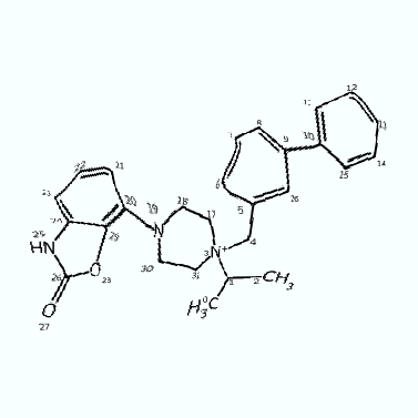 CC(C)[N+]1(Cc2cccc(-c3ccccc3)c2)CCN(c2cccc3[nH]c(=O)oc23)CC1